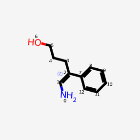 N/C=C(/CCCO)c1ccccc1